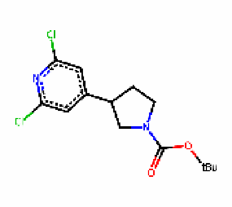 CC(C)(C)OC(=O)N1CCC(c2cc(Cl)nc(Cl)c2)C1